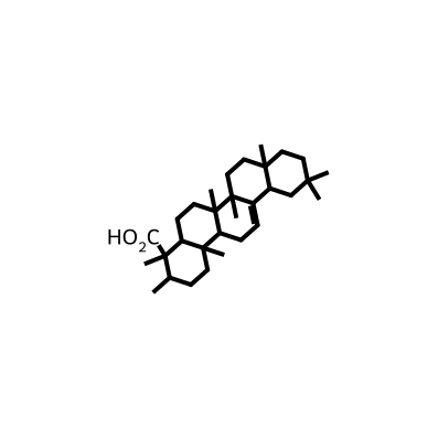 CC1CCC2(C)C(CCC3(C)C2CC=C2C4CC(C)(C)CCC4(C)CCC23C)C1(C)C(=O)O